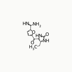 CCc1[nH]c(=O)[nH]c1C(=O)c1ccc(C(=N)N)o1